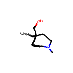 CC(=O)NC1(CO)CCN(C)CC1